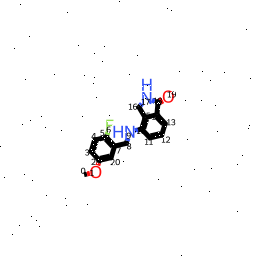 COc1ccc(F)c(CNc2cccc3c2CNC3=O)c1